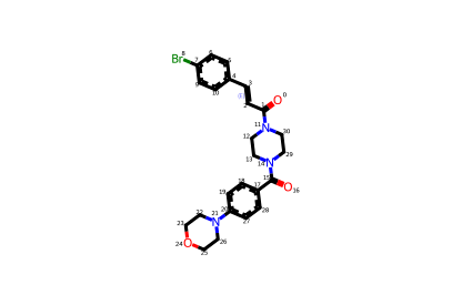 O=C(/C=C/c1ccc(Br)cc1)N1CCN(C(=O)c2ccc(N3CCOCC3)cc2)CC1